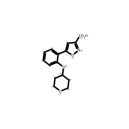 O=C(O)c1cc(-c2ccccc2OC2CCOCC2)on1